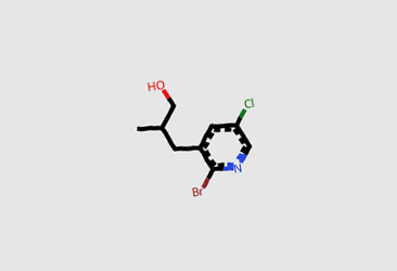 CC(CO)Cc1cc(Cl)cnc1Br